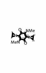 CNC1=C(N2CC2)C(=O)C(NC)=C(N2CC2)C1=O